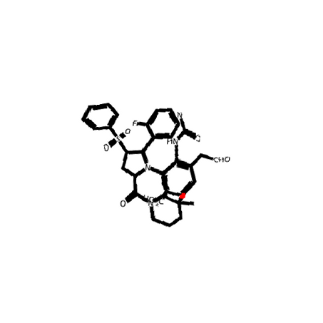 CC1(C)CCCN(C(=O)C2CC(S(=O)(=O)c3ccccc3)C(c3ccccc3F)N2c2c(C(=O)O)ccc(CC=O)c2NC(N)=O)C1